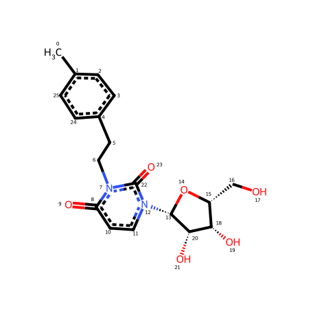 Cc1ccc(CCn2c(=O)ccn([C@@H]3O[C@H](CO)[C@H](O)[C@@H]3O)c2=O)cc1